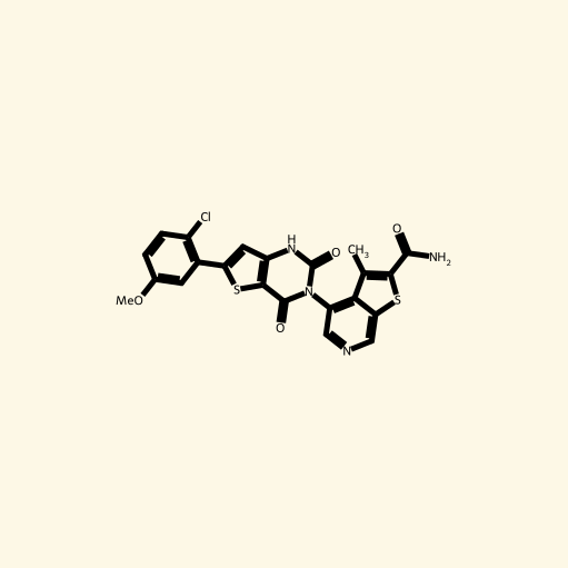 COc1ccc(Cl)c(-c2cc3[nH]c(=O)n(-c4cncc5sc(C(N)=O)c(C)c45)c(=O)c3s2)c1